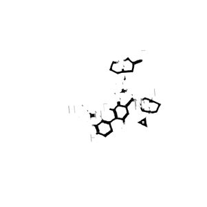 Nc1nc2c(-c3c(C(F)(F)F)cc4c(N5C[C@@H]6CC[C@](C7CC7)(C5)N6)nc(OC[C@@]56CCCN5C/C(=C\F)C6)nc4c3F)ccc(F)c2s1